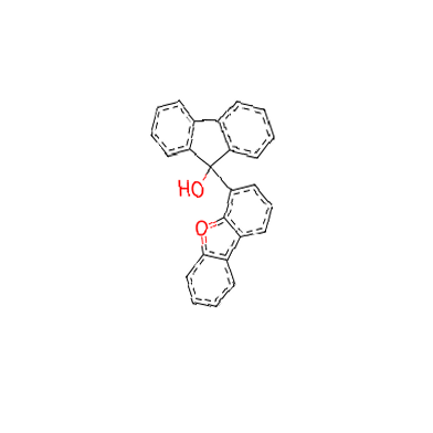 OC1(c2cccc3c2oc2ccccc23)c2ccccc2-c2ccccc21